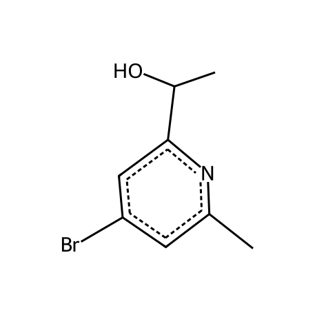 Cc1cc(Br)cc(C(C)O)n1